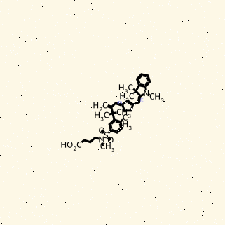 C=C(/C=C1C=C(/C=C2/N(C)c3ccccc3C2(C)C)CC/1)C(C)(C)c1cc(S(=O)(=O)N(C)CCCC(=O)O)ccc1C